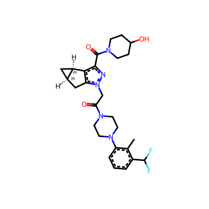 Cc1c(C(F)F)cccc1N1CCN(C(=O)Cn2nc(C(=O)N3CCC(O)CC3)c3c2C[C@H]2C[C@@H]32)CC1